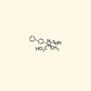 CCCSc1nc(-c2ccc(-c3ccccc3)cc2)c(C(=O)O)n1C